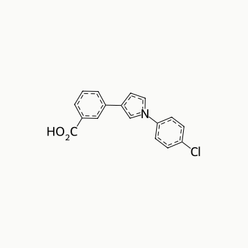 O=C(O)c1cccc(-c2ccn(-c3ccc(Cl)cc3)c2)c1